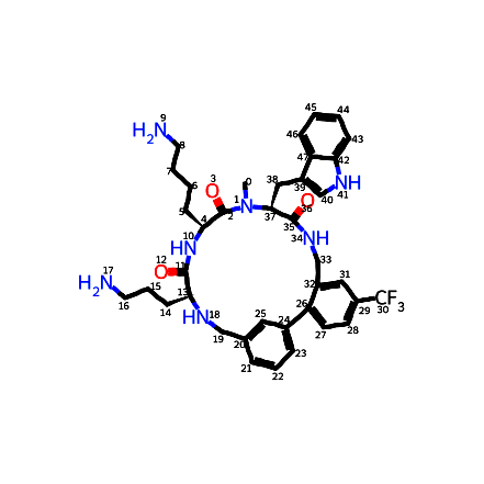 CN1C(=O)[C@H](CCCCN)NC(=O)[C@H](CCCN)NCc2cccc(c2)-c2ccc(C(F)(F)F)cc2CNC(=O)[C@@H]1Cc1c[nH]c2ccccc12